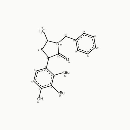 CC1SC(c2ccc(O)c(C(C)(C)C)c2C(C)(C)C)C(=O)N1Cc1ccccc1